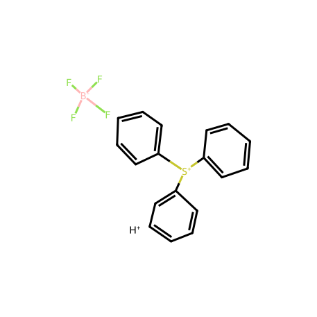 F[B-](F)(F)F.[H+].c1ccc([S+](c2ccccc2)c2ccccc2)cc1